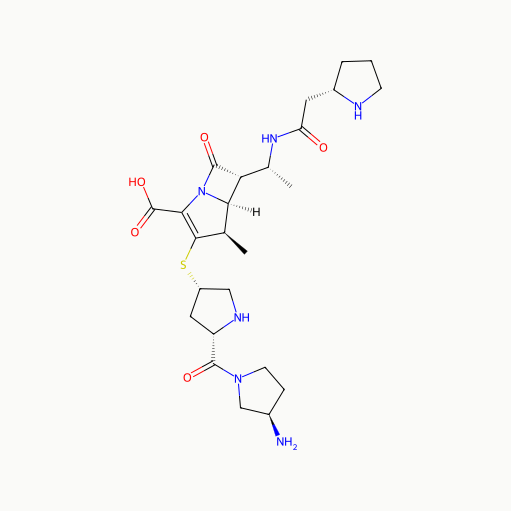 C[C@@H](NC(=O)C[C@@H]1CCCN1)[C@H]1C(=O)N2C(C(=O)O)=C(S[C@@H]3CN[C@H](C(=O)N4CC[C@@H](N)C4)C3)[C@H](C)[C@H]12